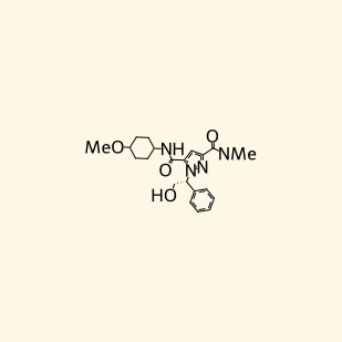 CNC(=O)c1cc(C(=O)NC2CCC(OC)CC2)n([C@@H](CO)c2ccccc2)n1